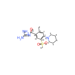 Cc1cc(N2CCCCC2)c(S(C)(=O)=O)cc1C(=O)N=C(N)N